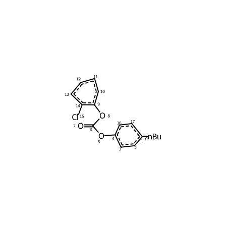 CCCCc1ccc(OC(=O)Oc2ccccc2Cl)cc1